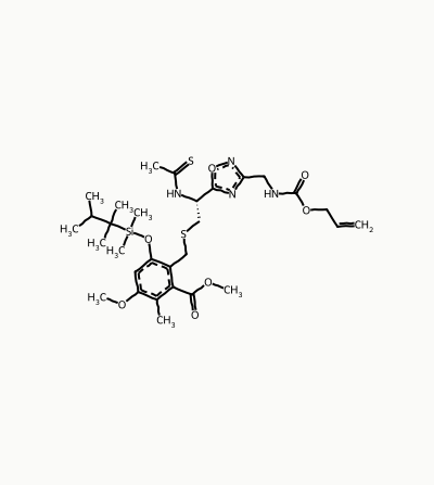 C=CCOC(=O)NCc1noc([C@H](CSCc2c(O[Si](C)(C)C(C)(C)C(C)C)cc(OC)c(C)c2C(=O)OC)NC(C)=S)n1